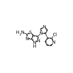 Nc1nc2[nH]nc(-n3cncc3-c3cccnc3Cl)c2s1